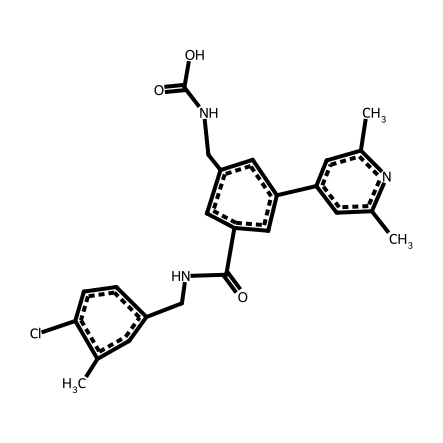 Cc1cc(-c2cc(CNC(=O)O)cc(C(=O)NCc3ccc(Cl)c(C)c3)c2)cc(C)n1